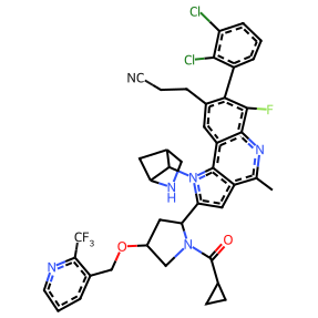 Cc1nc2c(F)c(-c3cccc(Cl)c3Cl)c(CCC#N)cc2c2c1cc(C1CC(OCc3cccnc3C(F)(F)F)CN1C(=O)C1CC1)n2C1C2CNC1C2